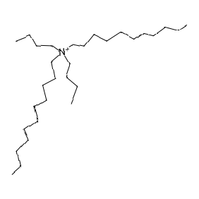 CCCCCCCCCCC[N+](CCCC)(CCCC)CCCCCCCCCCC